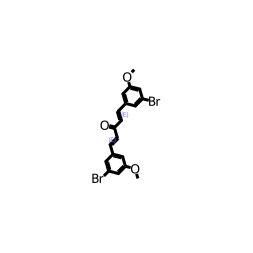 COc1cc(Br)cc(/C=C/C(=O)/C=C/c2cc(Br)cc(OC)c2)c1